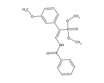 COc1cccc(C(=CNC(=O)c2ccccc2)P(=O)(OC)OC)c1